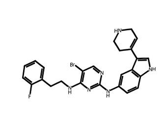 Fc1ccccc1CCNc1nc(Nc2ccc3[nH]cc(C4=CCNCC4)c3c2)ncc1Br